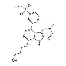 CCS(=O)(=O)c1cccc(C2=CN=C(OCCCO)C3Nc4ncc(C)cc4C23)c1